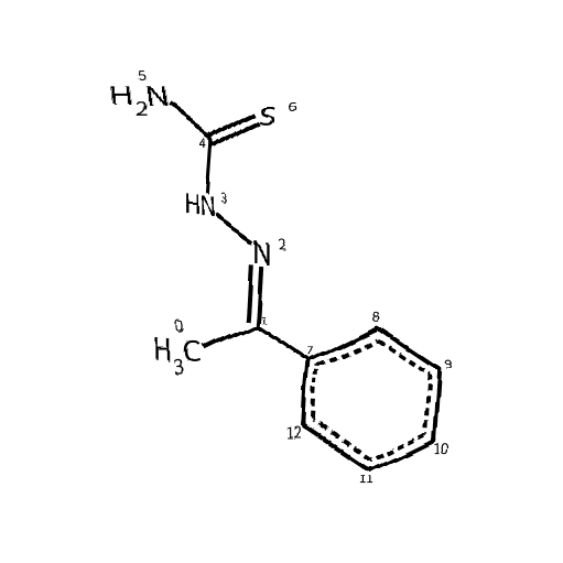 C/C(=N\NC(N)=S)c1ccccc1